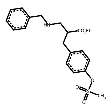 CCOC(=O)C(CNCc1ccccc1)Cc1ccc(OS(C)(=O)=O)cc1